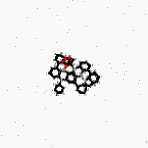 c1ccc(-c2cc3c(c4c2B2c5c(cccc5N4c4ccccc4)-c4cccc5ccn2c45)B2c4c(cccc4N3c3ccccc3)-c3cccc4ccn2c34)cc1